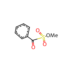 COS(=O)(=O)C(=O)c1ccccc1